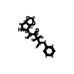 CC(Cc1ccccc1)C(C)(C)C(=O)N(C)C1NCC2OCOC21